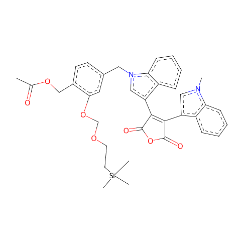 CC(=O)OCc1ccc(Cn2cc(C3=C(c4cn(C)c5ccccc45)C(=O)OC3=O)c3ccccc32)cc1OCOCC[Si](C)(C)C